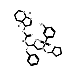 Nc1cccc(S(=O)(=O)N(C[C@H](O)[C@H](Cc2ccccc2)NC(=O)O[C@@H]2CO[C@@H]3OCCC[C@@H]32)OC2CCCC2)c1